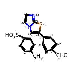 Cc1ccc(S(=O)(=O)O)cc1.O=Cc1ccc(-c2cn3ccnc3s2)cc1